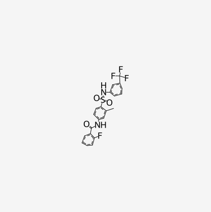 Cc1cc(NC(=O)c2ccccc2F)ccc1S(=O)(=O)Nc1cccc(C(F)(F)F)c1